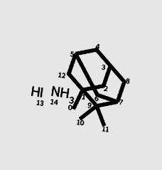 CC12CC3CC(CC(C3)C1(C)C)C2.I.N